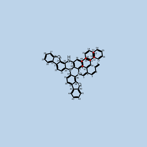 C=C/C=C\C(=C\N1c2cc(-c3ccccc3)cc3c2B(c2ccc4c(oc5ccccc54)c2N3)c2ccc3c(oc4ccccc43)c21)c1cccc(-c2ccccc2)c1